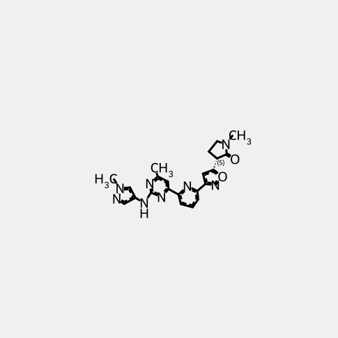 Cc1cc(-c2cccc(-c3cc([C@@H]4CCN(C)C4=O)on3)n2)nc(Nc2cnn(C)c2)n1